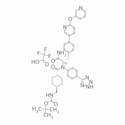 CC(C)(C)OC(=O)NC[C@H]1CC[C@H](C(=O)N(c2ccc(-c3nn[nH]n3)cc2)[C@@H](Cc2ccc(-c3ccc(Oc4cccnc4)nc3)cc2)C(N)=O)CC1.O=C(O)C(F)(F)F